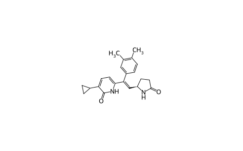 Cc1ccc(/C(=C\[C@H]2CCC(=O)N2)c2ccc(C3CC3)c(=O)[nH]2)cc1C